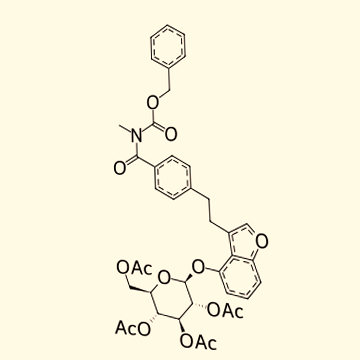 CC(=O)OC[C@H]1O[C@@H](Oc2cccc3occ(CCc4ccc(C(=O)N(C)C(=O)OCc5ccccc5)cc4)c23)[C@H](OC(C)=O)[C@@H](OC(C)=O)[C@@H]1OC(C)=O